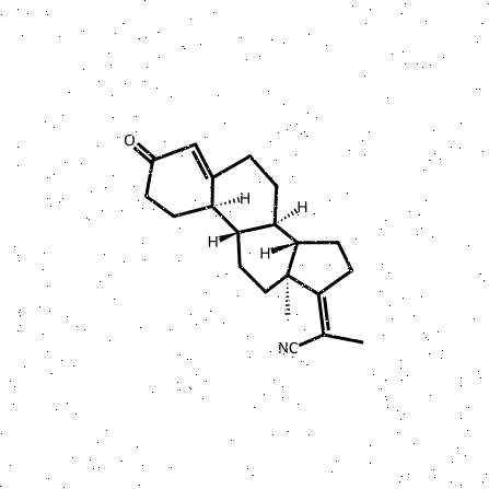 C/C(C#N)=C1\CC[C@H]2[C@@H]3CCC4=CC(=O)CC[C@@H]4[C@H]3CC[C@]12C